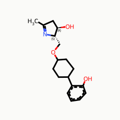 CC1=N[C@@H](COC2CCC(c3ccccc3O)CC2)[C@H](O)C1